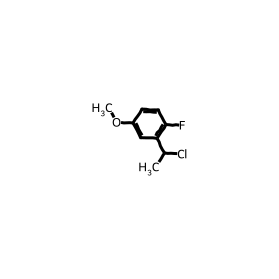 COc1ccc(F)c(C(C)Cl)c1